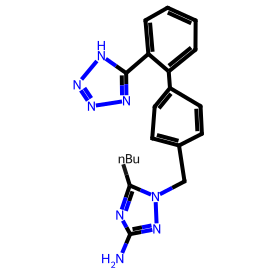 CCCCc1nc(N)nn1Cc1ccc(-c2ccccc2-c2nnn[nH]2)cc1